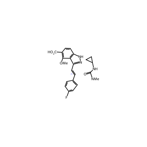 CNC(=O)NC1CC1.COc1c(C(=O)O)ccc2[nH]nc(/C=C/c3ccc(F)cc3)c12